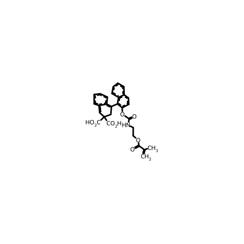 C=C(C)C(=O)OCCNC(=O)Oc1ccc2ccccc2c1C1=c2ccccc2=CC(C(=O)O)(C(=O)O)C1